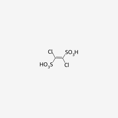 O=S(=O)(O)C(Cl)=C(Cl)S(=O)(=O)O